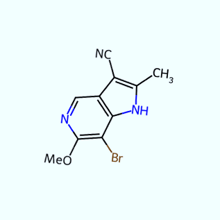 COc1ncc2c(C#N)c(C)[nH]c2c1Br